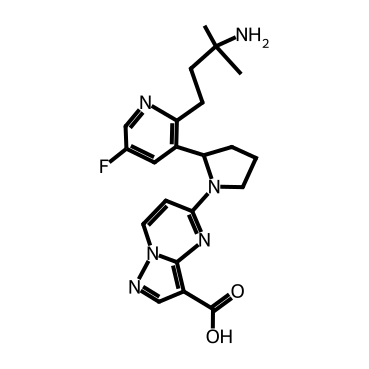 CC(C)(N)CCc1ncc(F)cc1C1CCCN1c1ccn2ncc(C(=O)O)c2n1